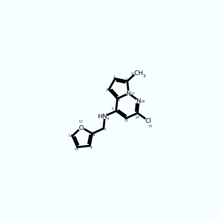 Cc1ccc2c(NCc3ccco3)cc(Cl)nn12